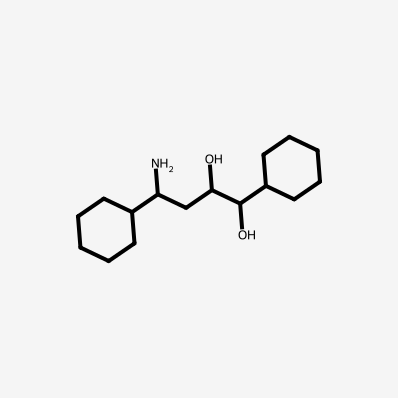 NC(CC(O)C(O)C1CCCCC1)C1CCCCC1